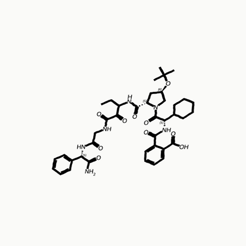 CCC(NC(=O)[C@@H]1C[C@@H](OC(C)(C)C)CN1C(=O)[C@@H](NC(=O)c1ccccc1C(=O)O)C1CCCCC1)C(=O)C(=O)NCC(=O)N[C@H](C(N)=O)c1ccccc1